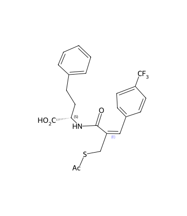 CC(=O)SC/C(=C/c1ccc(C(F)(F)F)cc1)C(=O)N[C@@H](CCc1ccccc1)C(=O)O